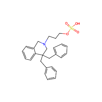 O=S(=O)(O)OCCCN1Cc2ccccc2C(Cc2ccccc2)(Cc2ccccc2)C1